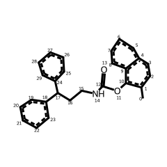 Cc1ccc2ccccc2c1OC(=O)NCCC(c1ccccc1)c1ccccc1